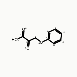 O=C(O)C(=O)COc1ccccc1